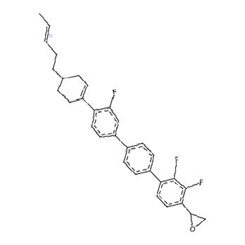 C/C=C/CCC1CC=C(c2ccc(-c3ccc(-c4ccc(C5CO5)c(F)c4F)cc3)cc2F)CC1